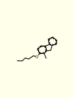 CCCCCOc1ccc2c(c1C)Cc1ccccc1-2